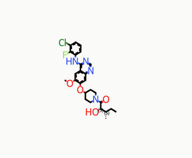 CC[C@H](C)[C@H](O)C(=O)N1CCC(Oc2cc3ncnc(Nc4cccc(Cl)c4F)c3cc2OC)CC1